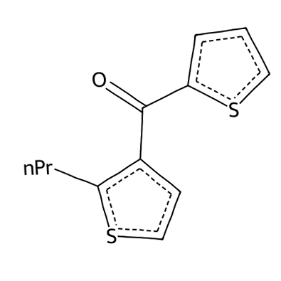 CCCc1sccc1C(=O)c1cccs1